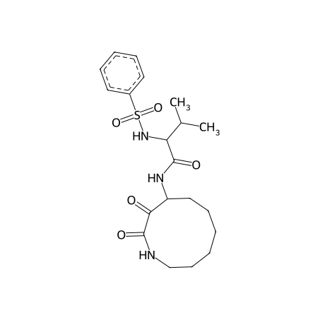 CC(C)C(NS(=O)(=O)c1ccccc1)C(=O)NC1CCCCCCNC(=O)C1=O